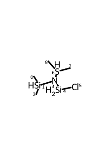 C[SiH](C)N([SiH2]Cl)[SH](C)C